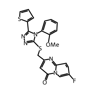 COc1ccccc1-n1c(SCc2cc(=O)n3cc(F)ccc3n2)nnc1-c1cccs1